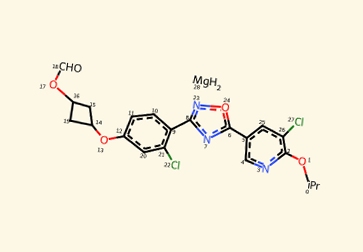 CC(C)Oc1ncc(-c2nc(-c3ccc(OC4CC(OC=O)C4)cc3Cl)no2)cc1Cl.[MgH2]